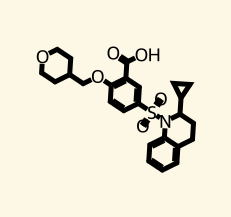 O=C(O)c1cc(S(=O)(=O)N2c3ccccc3CCC2C2CC2)ccc1OCC1CCOCC1